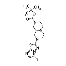 CC(C)(C)OC(=O)N1CCN2CCN(c3nn4c(I)cnc4s3)CC2C1